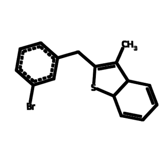 CC1=C(Cc2cccc(Br)c2)SC2C=CC=CC12